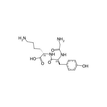 NCCCC[C@H](NC(=O)[C@H](Cc1ccc(O)cc1)NC(=O)CN)C(=O)O